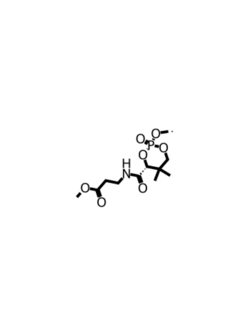 [CH2]OP1(=O)OCC(C)(C)[C@H](C(=O)NCCC(=O)OC)O1